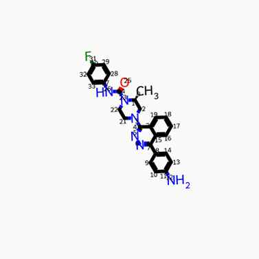 C[C@H]1CN(c2nnc(-c3ccc(N)cc3)c3ccccc23)CCN1C(=O)Nc1ccc(F)cc1